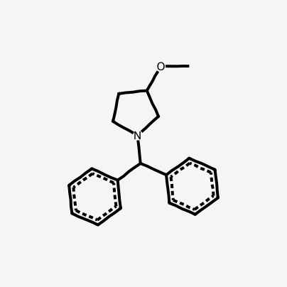 COC1CCN(C(c2ccccc2)c2ccccc2)C1